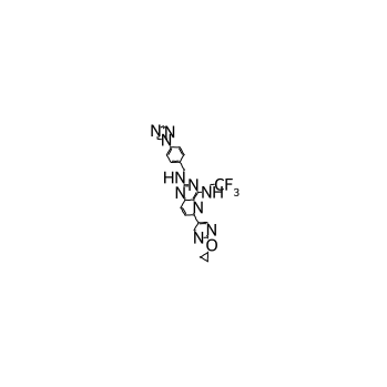 FC(F)(F)CNc1nc(NCc2ccc(-n3cncn3)cc2)nc2ccc(-c3cnc(OC4CC4)nc3)nc12